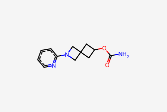 NC(=O)OC1CC2(C1)CN(c1ccccn1)C2